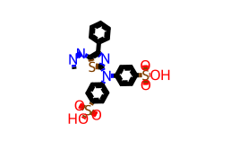 C/N=N\c1sc(N(c2ccc(S(=O)(=O)O)cc2)c2ccc(S(=O)(=O)O)cc2)nc1-c1ccccc1